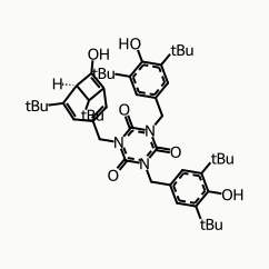 CC(C)(C)C1=CC(Cn2c(=O)n(Cc3cc(C(C)(C)C)c(O)c(C(C)(C)C)c3)c(=O)n(Cc3cc(C(C)(C)C)c(O)c(C(C)(C)C)c3)c2=O)=CC2=C(O)[C@H]1C2C(C)(C)C